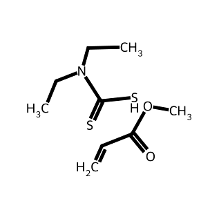 C=CC(=O)OC.CCN(CC)C(=S)S